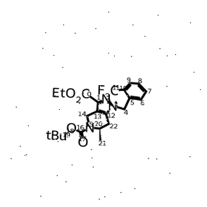 CCOC(=O)c1nn(Cc2ccccc2C(F)(F)F)c2c1CN(C(=O)OC(C)(C)C)[C@H](C)C2